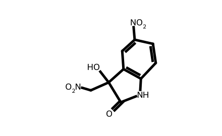 O=C1Nc2ccc([N+](=O)[O-])cc2C1(O)C[N+](=O)[O-]